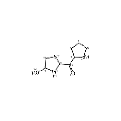 O=C(C1CCCN1)C1NC(O)CS1